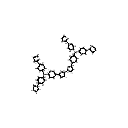 c1csc(-c2ccc(N(c3ccc(-c4cccs4)cc3)c3ccc(-c4ccc(-c5ccc(-c6ccc(N(c7ccc(-c8cccs8)cc7)c7ccc(-c8cccs8)cc7)cc6)s5)s4)cc3)cc2)c1